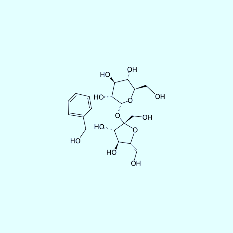 OC[C@H]1O[C@@](CO)(O[C@H]2O[C@H](CO)[C@@H](O)[C@H](O)[C@H]2O)[C@@H](O)[C@@H]1O.OCc1ccccc1